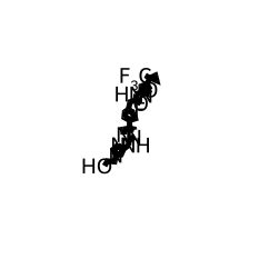 O=C(Cc1ccc(-c2cnc(Nc3cn(CCO)cn3)nc2)cc1F)Nc1cc(C2(C(F)(F)F)CC2)on1